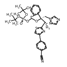 C[C@@H](c1nc(-c2ccc(C#N)cc2)cs1)[C@@](Cn1cncn1)(OCOP(=O)(OC(C)(C)C)OC(C)(C)C)c1ccccc1F